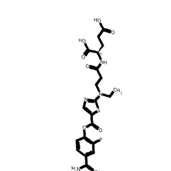 CCN(CCC(=O)N[C@H](CCC(=O)O)C(=O)O)c1ncc(C(=O)Oc2ccc(C(=N)N)cc2F)s1